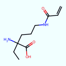 C=CC(=O)NCCCC(N)(CC)C(=O)O